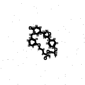 CS(=O)(=O)CCCOc1cccc(Cn2cc(-c3noc(-c4ccc(OC(F)F)cc4)n3)ccc2=O)c1